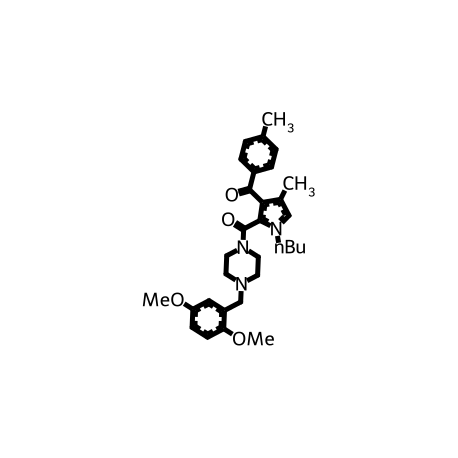 CCCCn1cc(C)c(C(=O)c2ccc(C)cc2)c1C(=O)N1CCN(Cc2cc(OC)ccc2OC)CC1